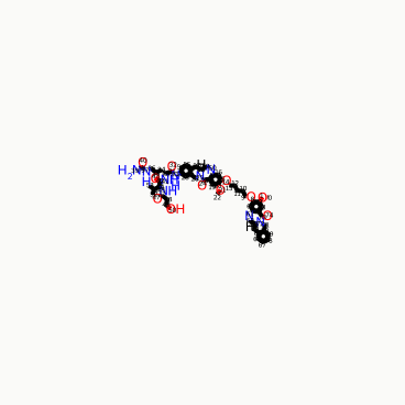 COc1cc2c(cc1OCCCCCOc1cc3c(cc1OC)C(=O)N1Cc4cc(NC(=O)[C@H](CCCNC(N)=O)NC(=O)[C@@H](NC(=O)CCO)C(C)C)ccc4C[C@H]1C=N3)N=C[C@@H]1Cc3ccccc3CN1C2=O